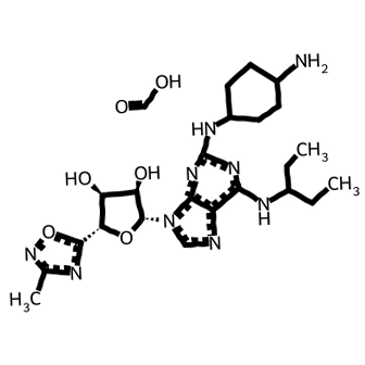 CCC(CC)Nc1nc(NC2CCC(N)CC2)nc2c1ncn2[C@@H]1O[C@H](c2nc(C)no2)[C@@H](O)[C@H]1O.O=CO